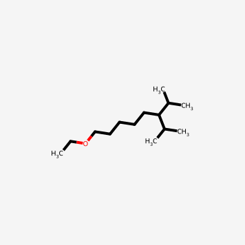 CCOCCCCCC(C(C)C)C(C)C